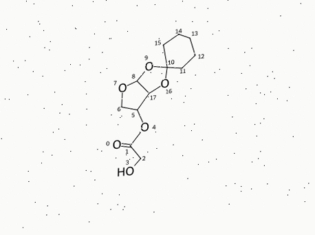 O=C(CO)OC1COC2OC3(CCCCC3)OC12